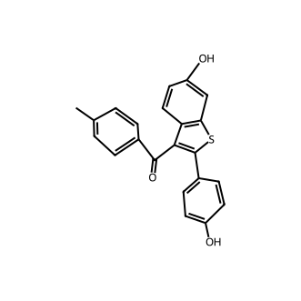 Cc1ccc(C(=O)c2c(-c3ccc(O)cc3)sc3cc(O)ccc23)cc1